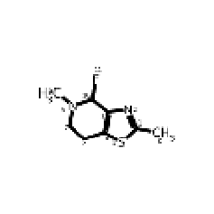 Cc1nc2c(s1)CCN(C)C2F